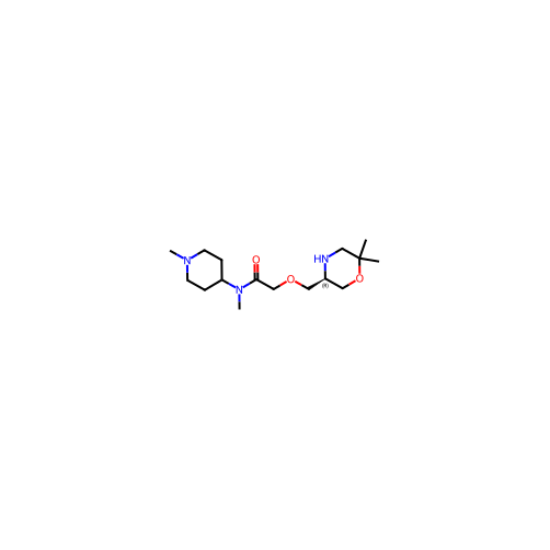 CN1CCC(N(C)C(=O)COC[C@@H]2COC(C)(C)CN2)CC1